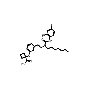 CCCCCCCN(CCc1cccc(OC2(C(=O)O)CCC2)c1)C(=O)Nc1ccc(F)cc1F